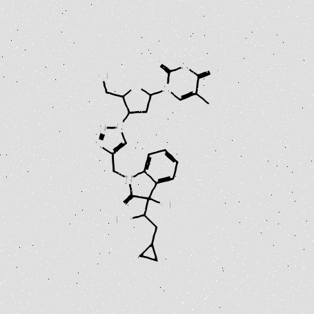 Cc1cn(C2CC(n3cc(CN4C(=O)C(O)(C(O)CC5CC5)c5ccccc54)nn3)C(CO)O2)c(=O)[nH]c1=O